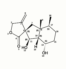 C=C1COC(=O)[C@]12C[C@@]1(C)[C@@H]([C@H]2O)[C@@H](O)CC[C@@H]1C